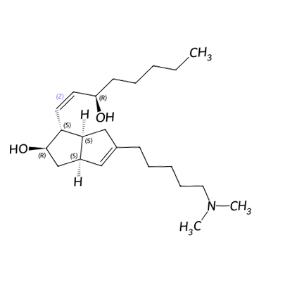 CCCCC[C@@H](O)/C=C\[C@@H]1[C@H]2CC(CCCCCN(C)C)=C[C@H]2C[C@H]1O